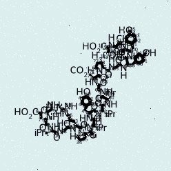 CC(C)C[C@H](NC(=O)[C@H](CCC(=O)O)NC(=O)CN)C(=O)NCC(=O)N[C@@H](CCCNC(=N)N)C(=O)N1CCC[C@H]1C(=O)N[C@H](C(=O)N[C@@H](Cc1ccc(O)cc1)C(=O)N[C@H](C(=O)N[C@@H](CC(C)C)C(=O)NCC(=O)N[C@@H](CC(=O)O)C(=O)N1CCC[C@H]1C(=O)NCC(=O)N[C@@H](Cc1ccc(O)cc1)C(=O)N[C@@H](Cc1ccc(O)cc1)C(=O)N[C@@H](C)C(=O)N[C@H](C(=O)O)[C@@H](C)O)C(C)C)C(C)C